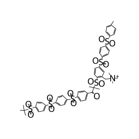 Cc1ccc(S(=O)(=O)c2ccc(S(=O)(=O)c3ccc(S(=O)(=O)C(C)(C)C(=O)c4ccc(S(=O)(=O)c5ccc(S(=O)(=O)c6ccc(S(=O)(=O)C(C)(C)C)cc6)cc5)cc4)c(C[N+](C)(C)C)c3)cc2)cc1